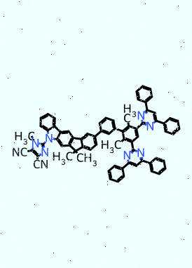 Cc1c(-c2nc(-c3ccccc3)cc(-c3ccccc3)n2)cc(-c2nc(-c3ccccc3)cc(-c3ccccc3)n2)c(C)c1-c1cccc(-c2ccc3c(c2)-c2cc4c5ccccc5n(-c5nc(C#N)c(C#N)n5C)c4cc2C3(C)C)c1